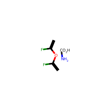 C=C(F)OC(=C)F.NC(=O)O